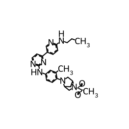 CCCNc1ccc(-c2ccnc(Nc3ccc(N4CC5CC4CN5S(C)(=O)=O)c(C)c3)n2)cn1